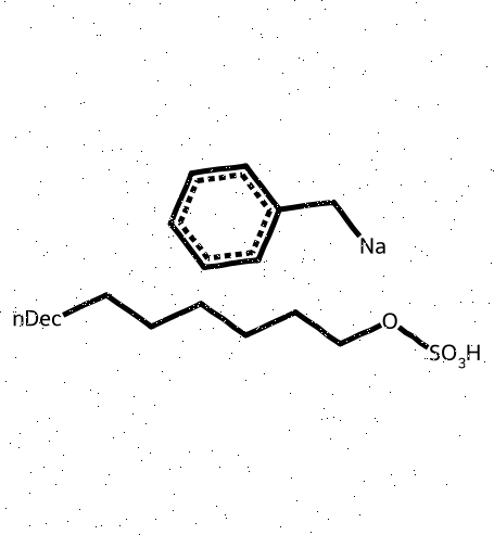 CCCCCCCCCCCCCCCCOS(=O)(=O)O.[Na][CH2]c1ccccc1